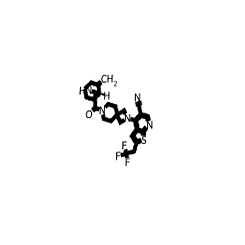 C=C1CC2CC[C@@H]1C(C(=O)N1CCC3(CC1)CN(c1c(C#N)cnc4sc(CC(F)(F)F)cc14)C3)N2